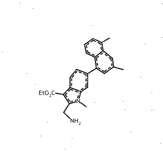 CCOC(=O)c1c(CN)n(C)c2cc(-c3cc(C)cc4c(C)cccc34)ccc12